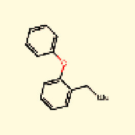 CC(C)(C)Cc1ccccc1Oc1ccccc1